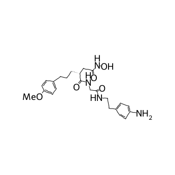 COc1ccc(CCC[C@H](CC(=O)NO)C(=O)NCC(=O)NCCc2ccc(N)cc2)cc1